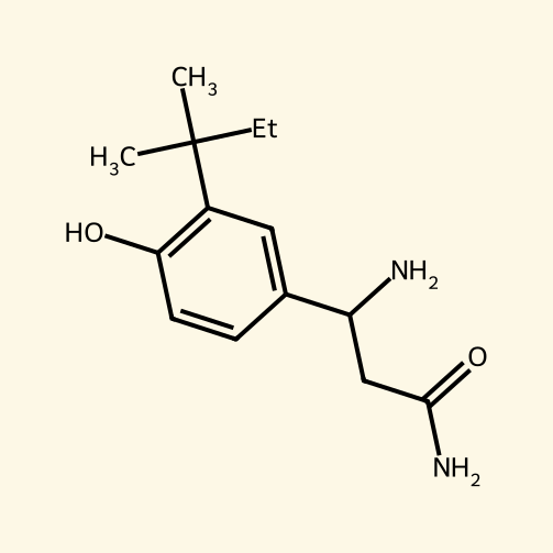 CCC(C)(C)c1cc(C(N)CC(N)=O)ccc1O